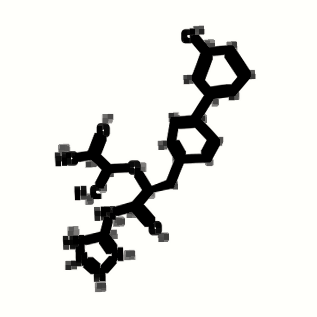 CC(O[C@@H](Cc1ccc(-c2cccc(Cl)c2)cc1)C(=O)Nc1nnn[nH]1)C(=O)O